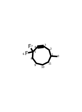 CC1CC#CC(F)(F)CCCC1